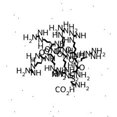 N=C(N)NCCCC(NC(=O)[C@H](CCCNC(=N)N)NC(=O)C(CCCNC(=N)N)NC(=O)[C@H](CCCNC(=N)N)NC(=O)C(CCCNC(=N)N)NC(=O)[C@H](CCCNC(=N)N)NC(=O)[C@@H](N)CSSC[C@H](N)C(=O)O)C(=O)N[C@@H](CCCNC(=N)N)C(N)=O